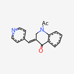 CC(=O)N1CC(=Cc2ccncc2)C(=O)c2ccccc21